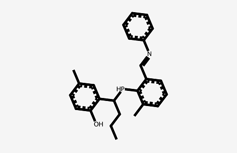 CCCC(Pc1c(C)cccc1/C=N/c1ccccc1)c1cc(C)ccc1O